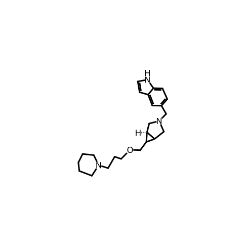 c1cc2cc(CN3CC4C(COCCCN5CCCCC5)[C@H]4C3)ccc2[nH]1